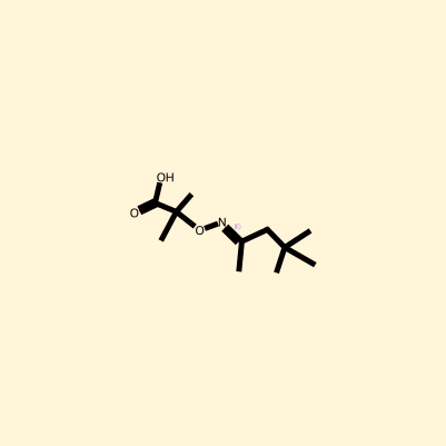 C/C(CC(C)(C)C)=N\OC(C)(C)C(=O)O